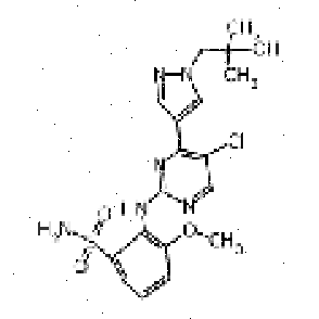 COc1cccc(S(N)(=O)=O)c1Nc1ncc(Cl)c(-c2cnn(CC(C)(C)O)c2)n1